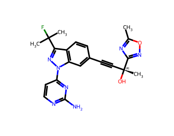 Cc1nc([C@](C)(O)C#Cc2ccc3c(C(C)(C)F)nn(-c4ccnc(N)n4)c3c2)no1